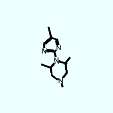 Cc1cnc(N2C(C)CN(C)CC2C)nc1